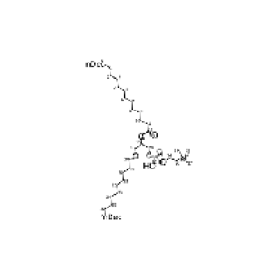 CCCCCCCCCCCCCCCCCCCCCC(=O)OC(COCCCCCCCCCCCCCCCCCCC)COP(=O)(O)OCC[N+](C)(C)C